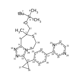 CC1(CO[Si](C)(C)C(C)(C)C)Cc2nnc(C3(c4ccc(-c5cnccn5)cc4)CC3)n2CCS1